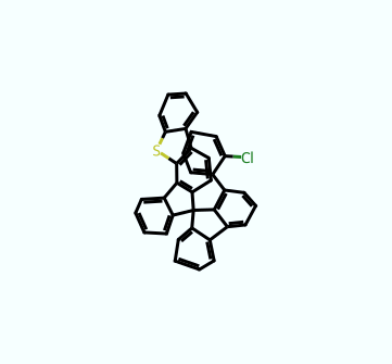 Clc1ccccc1-c1cccc2c1C1(c3ccccc3-2)c2ccccc2-c2c1ccc1c2sc2ccccc21